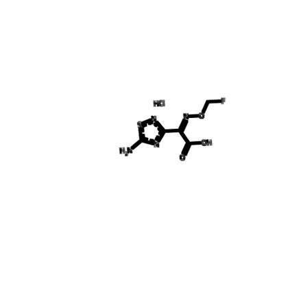 Cl.Nc1nc(C(=NOCF)C(=O)O)ns1